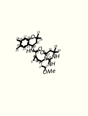 COCC[C@H]([C@@H]1C[C@H]1C(=O)N[C@@H]1CC(C)(C)Oc2cc(C)c(C)cc21)N1C(=N)NC(C)(C)CC1=O